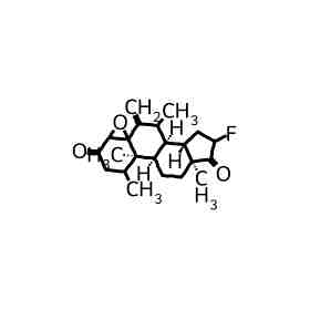 C=C1C(C)[C@@H]2[C@@H](CC[C@]3(C)C(=O)C(F)C[C@@H]23)[C@@]2(C)C(C)CC(=O)C3OC132